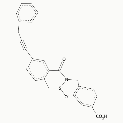 O=C(O)c1ccc(CN2C(=O)c3cc(C#CCc4ccccc4)ncc3C[S+]2[O-])cc1